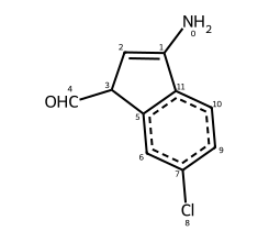 NC1=CC(C=O)c2cc(Cl)ccc21